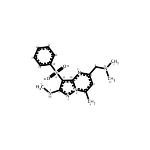 CNc1nn2c(C)cc(CN(C)C)nc2c1S(=O)(=O)c1ccccc1